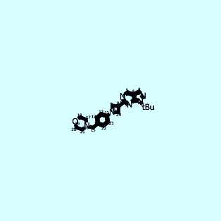 CC(C)(C)n1ncc2cnc(C3CN(c4ccc(CN5CCOCC5)cc4)C3)nc21